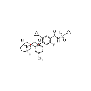 O=C(NS(=O)(=O)C1CC1)c1cc(C2CC2)c(OCC2C[C@H]3CC[C@@H](C2)N3Cc2cc(C(F)(F)F)ccc2Cl)cc1F